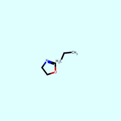 C1=NCCO1.CCC